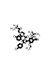 CCOc1cc(C#N)c(S(=O)(=O)N(C)C)cc1C1=N[C@@H](c2ccc(Cl)cc2)[C@@H](c2ccc(Cl)cc2)N1C(=O)N1CCN(CC(=O)N(C)C)CC1